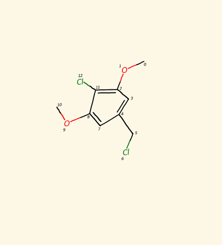 COc1cc(CCl)cc(OC)c1Cl